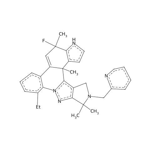 CCc1cccc2c1-n1nc3c(c1C1(C)C2=CC(C)(F)c2[nH]ccc21)CN(Cc1ccccn1)C3(C)C